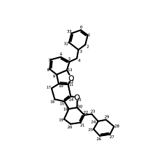 C1=CCC(CC2=CC=CC3C4=C(OC23)C2=C(CC4)C3CCC=C(CC4CC=CCC4)C3O2)C=C1